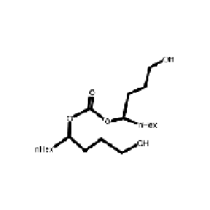 CCCCCCC(CCCO)OC(=O)OC(CCCO)CCCCCC